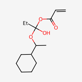 C=CC(=O)OC(O)(CC)OC(C)C1CCCCC1